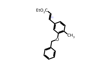 CCOC(=O)/C=C/c1ccc(C)c(OCc2ccccc2)c1